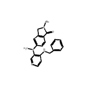 CCCCN1Cc2cc(N(C)c3cnccc3NCc3ccccc3)ccc2C1=O